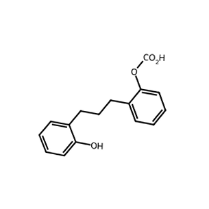 O=C(O)Oc1ccccc1CCCc1ccccc1O